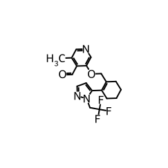 Cc1cncc(OCC2=C(c3ccnn3CC(F)(F)F)CCCC2)c1C=O